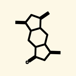 C=C1CC(=C)C2CC3C(=O)CC(=C)C3CC12